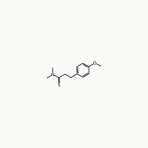 COc1ccc(CCC(=S)N(C)C)cc1